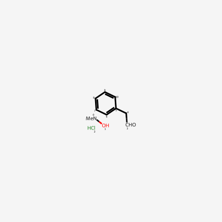 CNO.Cl.O=CCc1ccccc1